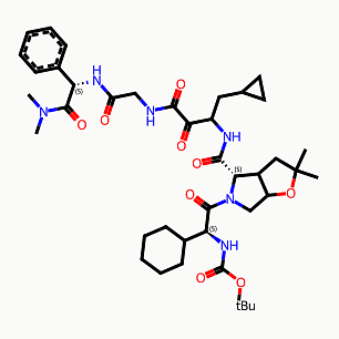 CN(C)C(=O)[C@@H](NC(=O)CNC(=O)C(=O)C(CC1CC1)NC(=O)[C@@H]1C2CC(C)(C)OC2CN1C(=O)[C@@H](NC(=O)OC(C)(C)C)C1CCCCC1)c1ccccc1